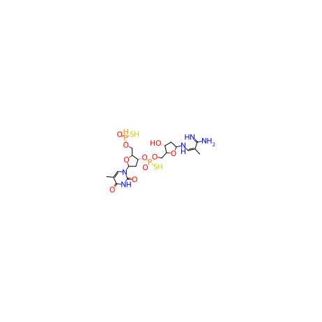 C/C(=C/NC1C[C@@H](O)C(COP(=O)(S)O[C@@H]2CC(n3cc(C)c(=O)[nH]c3=O)OC2CO[PH](=O)S)O1)C(=N)N